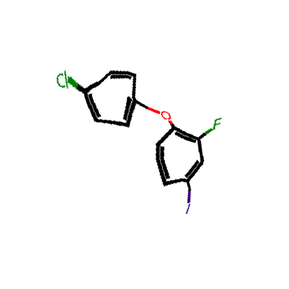 Fc1cc(I)ccc1Oc1ccc(Cl)cc1